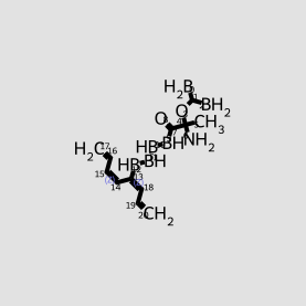 BC(B)OC(C)(N)C(=O)BBBBC(/C=C\C=C)=C/C=C